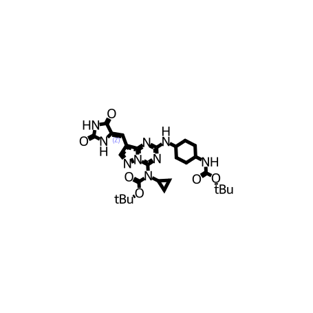 CC(C)(C)OC(=O)NC1CCC(Nc2nc(N(C(=O)OC(C)(C)C)C3CC3)n3ncc(/C=C4\NC(=O)NC4=O)c3n2)CC1